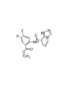 COC(=O)c1cc(F)c(F)cc1NC(=O)c1cccn2cnnc12